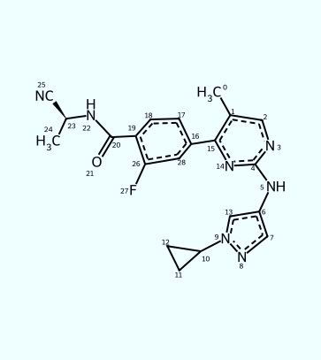 Cc1cnc(Nc2cnn(C3CC3)c2)nc1-c1ccc(C(=O)N[C@@H](C)C#N)c(F)c1